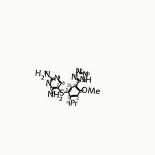 COc1cc(C(C)C)c(Sc2cnc(N)nc2N)cc1-c1nnn[nH]1